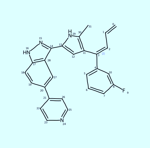 C=C/C=C(/c1cccc(F)c1)c1cc(-c2n[nH]c3ccc(-c4ccncc4)cc23)[nH]c1C